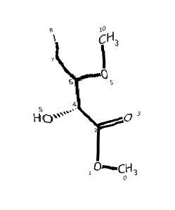 COC(=O)[C@H](O)C(CI)OC